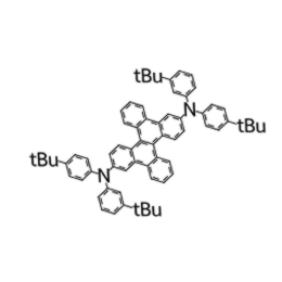 CC(C)(C)c1ccc(N(c2cccc(C(C)(C)C)c2)c2ccc3c(c2)c2ccccc2c2c4ccc(N(c5ccc(C(C)(C)C)cc5)c5cccc(C(C)(C)C)c5)cc4c4ccccc4c32)cc1